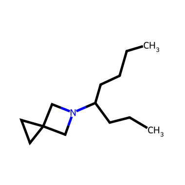 CCCCC(CCC)N1CC2(CC2)C1